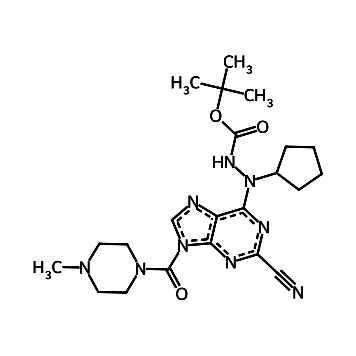 CN1CCN(C(=O)n2cnc3c(N(NC(=O)OC(C)(C)C)C4CCCC4)nc(C#N)nc32)CC1